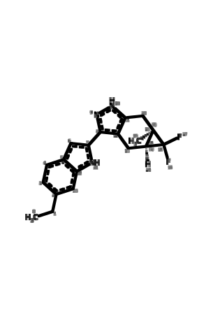 CCc1ccc2cc(-c3n[nH]c4c3C[C@@H]3C(F)(F)[C@]3(C)C4)[nH]c2c1